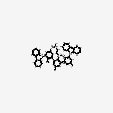 Cc1cc(-c2cc(C)cc(-n3c4ccccc4c4ccccc43)c2O)c(P(C)CCP(C)C)c(-c2cc(C)cc(-n3c4ccccc4c4ccccc43)c2O)c1